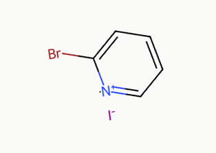 BrC1=CC=CC=[N+]1.[I-]